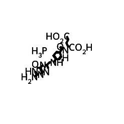 Nc1nc2ncc(CNc3ccc(C(=O)NC(CCC(=O)O)C(=O)O)cc3)nc2c(=O)[nH]1.P